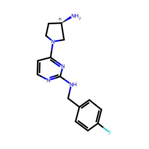 N[C@@H]1CCN(c2ccnc(NCc3ccc(F)cc3)n2)C1